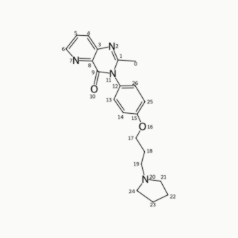 Cc1nc2cccnc2c(=O)n1-c1ccc(OCCCN2CCCC2)cc1